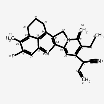 C=CC(C#N)C1=C(CC)C(=C)N2Cc3c(nc4cc(F)c(C)c5c4c3CCC5)C2=C1